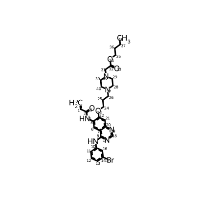 C=CC(=O)Nc1cc2c(Nc3cccc(Br)c3)ncnc2cc1OCCCN1CCN(CC(=O)OCCCC)CC1